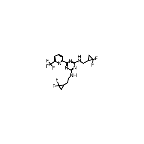 FC(F)(F)c1cccc(-c2nc(NCCC3CC3(F)F)nc(NCC3CC3(F)F)n2)n1